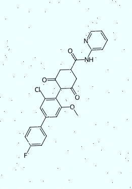 COc1cc(-c2ccc(F)cc2)cc(Cl)c1C1C(=O)CC(C(=O)Nc2ccccn2)CC1=O